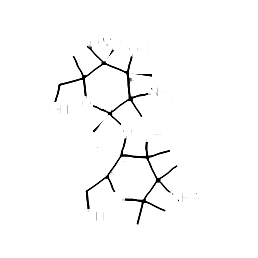 CO[C@]1(C)C(C)(CO)O[C@@](C)(O[C@@]2(C)C(C)(O)C(C)(NC(C)=O)C(C)(C)O[C@@]2(C)CO)C(C)(N)[C@@]1(C)O